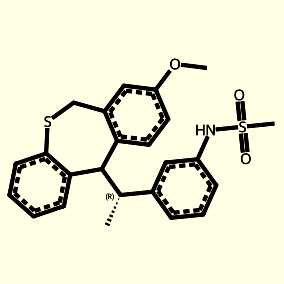 COc1ccc2c(c1)CSc1ccccc1C2[C@@H](C)c1cccc(NS(C)(=O)=O)c1